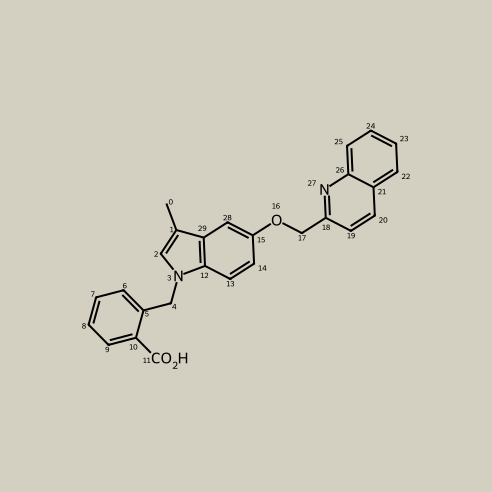 Cc1cn(Cc2ccccc2C(=O)O)c2ccc(OCc3ccc4ccccc4n3)cc12